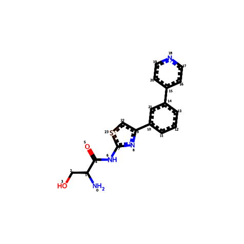 NC(CO)C(=O)Nc1nc(-c2cccc(-c3ccncc3)c2)cs1